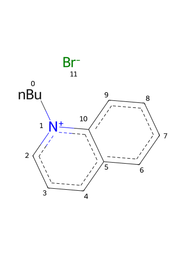 CCCC[n+]1cccc2ccccc21.[Br-]